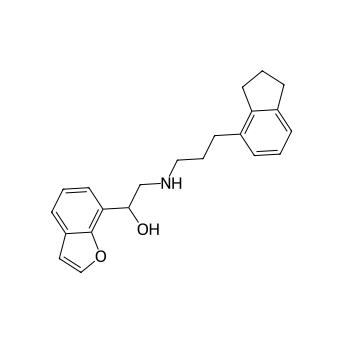 OC(CNCCCc1cccc2c1CCC2)c1cccc2ccoc12